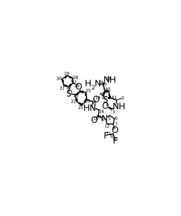 C[C@@H](NC(=O)[C@@H]1C[C@@H](OC(F)F)CN1C(=O)CNC(=O)c1ccc2c(c1)Oc1ccccc1S2)c1cc(C(=N)N)cs1